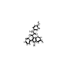 COc1ccc(NC(=O)C(=O)c2c(-c3cccnc3)[nH]c3cc(C)ccc23)cn1